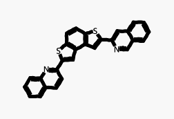 c1ccc2cc(-c3cc4c(ccc5sc(-c6ccc7ccccc7n6)cc54)s3)ncc2c1